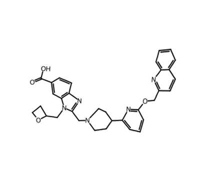 O=C(O)c1ccc2nc(CN3CCC(c4cccc(OCc5ccc6ccccc6n5)n4)CC3)n(CC3CCO3)c2c1